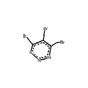 Brc1nnnc(Br)c1Br